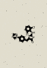 O=C1N=C(Nc2c(Cl)cccc2Cl)SC1=Cc1ccc(-n2cncn2)cc1